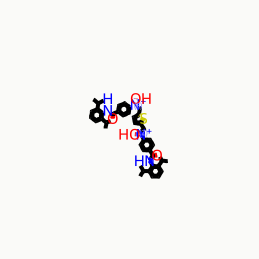 CC(C)c1cccc(C(C)C)c1NC(=O)c1ccc(/[N+](O)=C/c2ccc(/C=[N+](/O)c3ccc(C(=O)Nc4c(C(C)C)cccc4C(C)C)cc3)s2)cc1